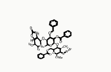 CCC1O[C@@H](O[C@H]2C(C(C)=O)O[C@@H](O[C@@H]3C(COC(=O)c4ccccc4)O[C@H](OC)C(N=[N+]=[N-])[C@H]3C)C(OC(=O)c3ccccc3)[C@@H]2OCc2ccccc2)C2NC(=O)O[C@H]2[C@@H]1O